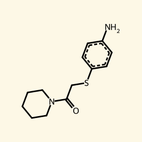 Nc1ccc(SCC(=O)N2CCCCC2)cc1